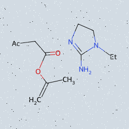 C=C(C)OC(=O)CC(C)=O.CCN1CCN=C1N